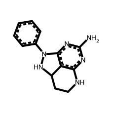 Nc1nc2c3c(n1)N(c1ccccc1)NC3CCN2